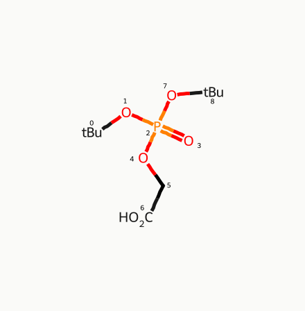 CC(C)(C)OP(=O)(OCC(=O)O)OC(C)(C)C